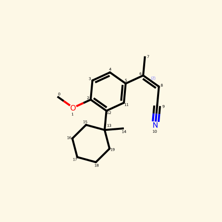 COc1ccc(/C(C)=C\C#N)cc1C1(C)CCCCC1